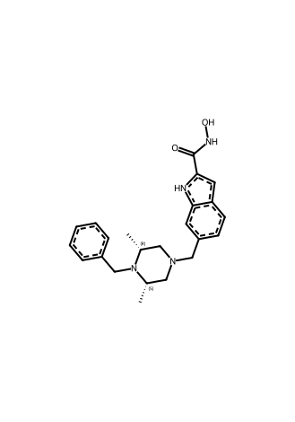 C[C@@H]1CN(Cc2ccc3cc(C(=O)NO)[nH]c3c2)C[C@H](C)N1Cc1ccccc1